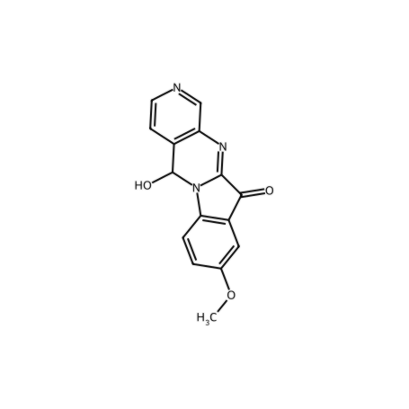 COc1ccc2c(c1)C(=O)C1=Nc3cnccc3C(O)N12